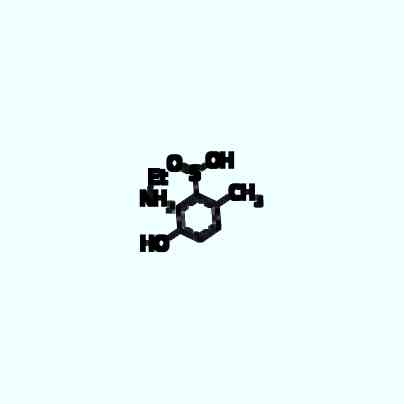 CCN.Cc1ccc(O)cc1S(=O)O